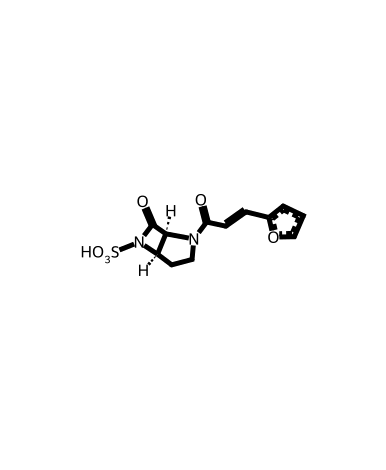 O=C(/C=C/c1ccco1)N1CC[C@@H]2[C@H]1C(=O)N2S(=O)(=O)O